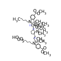 CCCCCN1/C(=C/C=C2\CCC(/C=C/C3=[N+](CCCCSOOO)c4ccc(C(=O)OC)cc4C3(C)C)=C2N(C)C(=O)OC(C)(C)C)C(C)(C)c2cc(C(=O)OC)ccc21